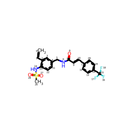 C=Cc1cc(CNC(=O)C=Cc2ccc(C(F)(F)F)cc2)ccc1NS(C)(=O)=O